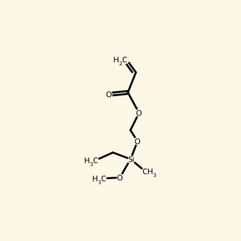 C=CC(=O)OCO[Si](C)(CC)OC